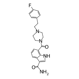 NC(=O)c1c[nH]c2c(C(=O)N3CCN(CCc4ccc(F)cc4)CC3)cccc12